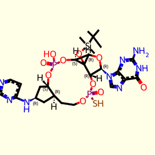 CC(C)(C)[Si](C)(C)OC12[C@@H]3O[C@@H](n4cnc5c(=O)[nH]c(N)nc54)[C@@H]1OP(=O)(S)OCC[C@H]1C[C@@H](Nc4ccncn4)C[C@@H]1OP(=O)(O)O[C@@H]32